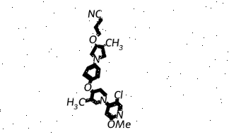 COc1cc(N2CCC(Oc3ccc(N4C[C@H](OCCCC#N)[C@@H](C)C4)cc3)C(C)C2)c(Cl)cn1